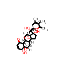 C=C1O[C@@H]([C@](C)(O)[C@]2(O)CC[C@@]3(O)[C@@H]4C[C@H]5O[C@]56[C@@H](O)C=CC(=O)[C@]6(C)[C@H]4CC[C@]23CC)CC(C)=C1C